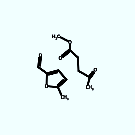 COC(=O)CCC(C)=O.Cc1ccc(C=O)o1